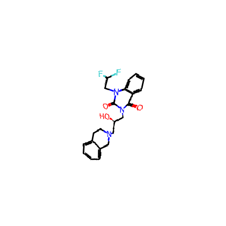 O=c1c2ccccc2n(CC(F)F)c(=O)n1C[C@H](O)CN1CCc2ccccc2C1